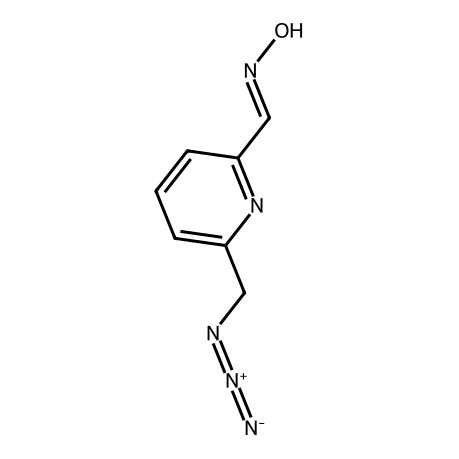 [N-]=[N+]=NCc1cccc(/C=N/O)n1